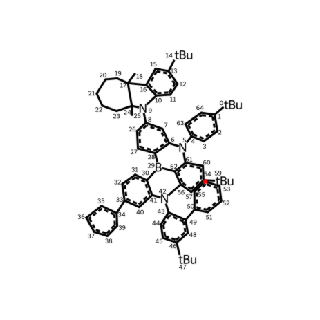 CC(C)(C)c1ccc(N2c3cc(N4c5ccc(C(C)(C)C)cc5C5(C)CCCCCC45C)ccc3B3c4ccc(-c5ccccc5)cc4N(c4ccc(C(C)(C)C)cc4-c4ccccc4)c4cc(C(C)(C)C)cc2c43)cc1